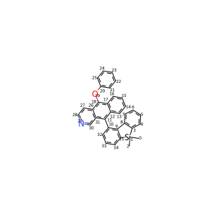 C[Si]1(C)c2ccccc2-c2c(-c3c4ccccc4c(Oc4ccccc4)c4ccncc34)cccc21